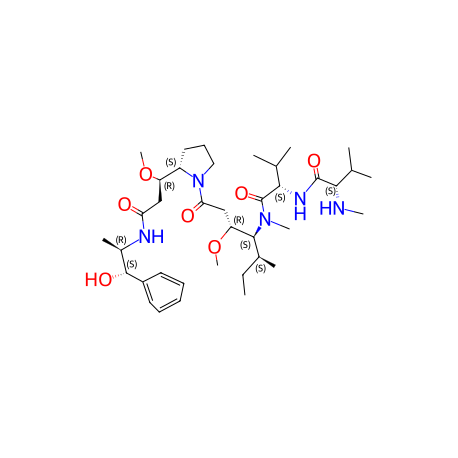 CC[C@H](C)[C@@H]([C@@H](CC(=O)N1CCC[C@H]1[C@@H](CC(=O)N[C@H](C)[C@@H](O)c1ccccc1)OC)OC)N(C)C(=O)[C@@H](NC(=O)[C@@H](NC)C(C)C)C(C)C